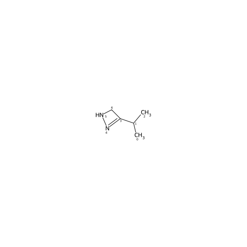 CC(C)C1=NNC1